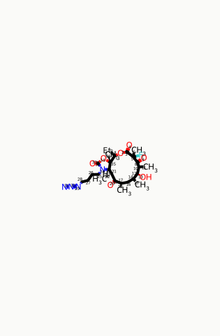 CCC1OC(=O)C(C)(F)C(=O)C(C)[C@@H](O)C(C)C[C@@H](C)C(=O)[C@H](C)[C@H]2N(CCCCN=[N+]=[N-])C(=O)O[C@]12C